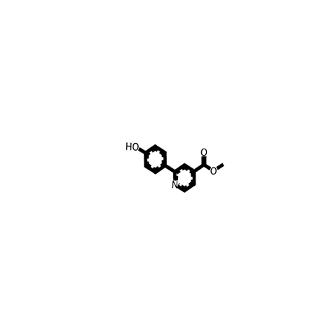 COC(=O)c1ccnc(-c2ccc(O)cc2)c1